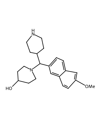 COc1ccc2cc(C(C3CCNCC3)N3CCC(O)CC3)ccc2c1